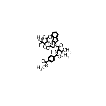 COC(=O)c1ccc(C(=O)N[C@H](C(=O)N(CC(=O)NC(C(=O)C(F)(F)F)C(C)C)C2Cc3ccccc3C2)C(C)C)cc1